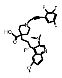 COc1ccc2ncc(N(C)C)c([C@H](F)CCC3(C(=O)O)CCN(CC#Cc4cc(F)cc(F)c4F)CC3)c2c1